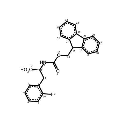 O=C(N[C@@H](Cc1ccccc1F)C(=O)O)OCC1c2ccccc2-c2ccccc21